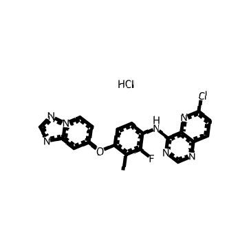 Cc1c(Oc2ccn3ncnc3c2)ccc(Nc2ncnc3ccc(Cl)nc23)c1F.Cl